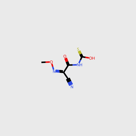 CON=C(C#N)C(=O)NC(O)=S